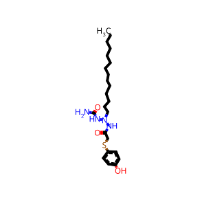 CCCCCCCCCCCCCCN(NC(N)=O)NC(=O)CSc1ccc(O)cc1